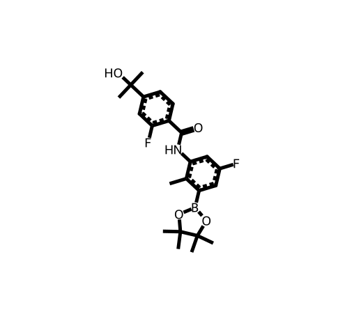 Cc1c(NC(=O)c2ccc(C(C)(C)O)cc2F)cc(F)cc1B1OC(C)(C)C(C)(C)O1